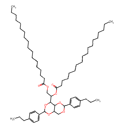 CCCCCCCCCCCCCCCCCC(=O)OCC(OC(=O)CCCCCCCCCCCCCCCCC)C1OC(c2ccc(CCC)cc2)OC2COC(c3ccc(CCC)cc3)OC21